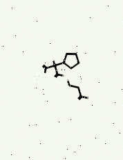 CCC(=O)CCOC(=O)C(C)(C(=O)OC)C1CCCC1